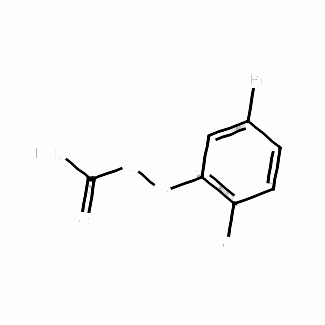 CC(=O)OOc1cc(Br)ccc1Cl